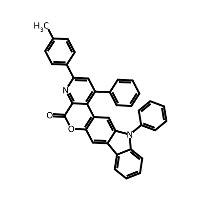 Cc1ccc(-c2cc(-c3ccccc3)c3c(n2)c(=O)oc2cc4c5ccccc5n(-c5ccccc5)c4cc23)cc1